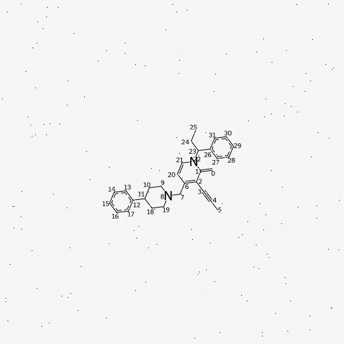 C=C1C(C#CC)=C(CN2CCC(c3ccccc3)CC2)C=CN1C(CC)c1ccccc1